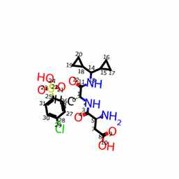 C[C@@H](NC(=O)[C@@H](N)CC(=O)O)C(=O)NC(C1CC1)C1CC1.O=S(=O)(O)c1ccc(Cl)cc1